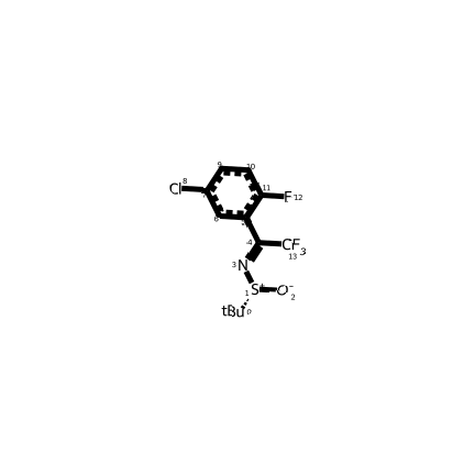 CC(C)(C)[S@@+]([O-])/N=C(/c1cc(Cl)ccc1F)C(F)(F)F